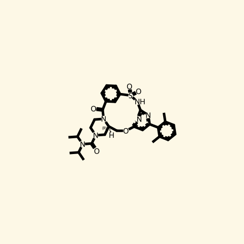 Cc1cccc(C)c1-c1cc2nc(n1)NS(=O)(=O)c1cccc(c1)C(=O)N1CCN(C(=O)N(C(C)C)C(C)C)C[C@@H]1CO2